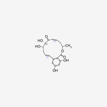 CC1C/C=C\C(=O)[C@@H](O)C(O)C/C=C/c2cc(O)cc(O)c2C(=O)O1